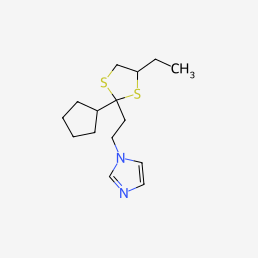 CCC1CSC(CCn2ccnc2)(C2CCCC2)S1